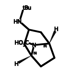 CC(C)(C)NC1C[C@H]2CC[C@@H](C1)N2C(=O)O